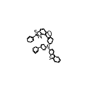 c1ccc(-c2ccc(N(c3ccc4c(c3)sc3ccccc34)c3ccc4oc5ccc6sc(-c7ccccc7)nc6c5c4c3)cc2)cc1